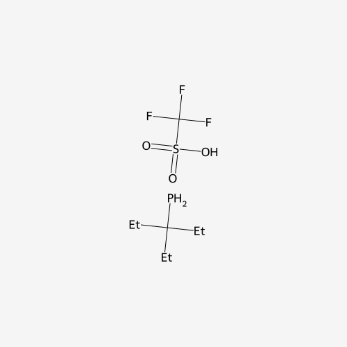 CCC(P)(CC)CC.O=S(=O)(O)C(F)(F)F